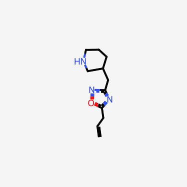 C=CCc1nc(CC2CCCNC2)no1